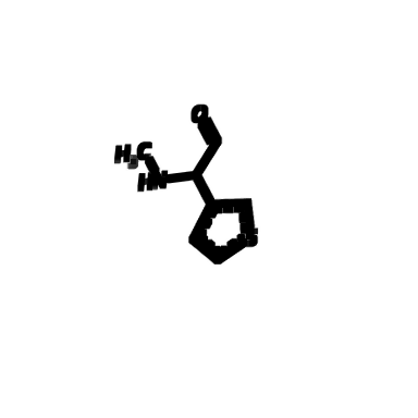 CNC(C=O)c1ccsc1